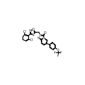 O=c1n(Cc2nc(C3=C(Cl)CCC=C3Cl)no2)nc2ccc(-c3ccc(OC(F)(F)F)cc3)cn12